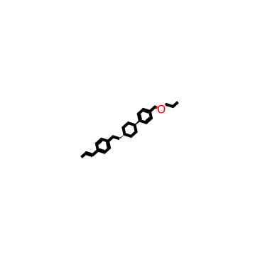 CC=Cc1ccc(CC[C@H]2CC[C@H](c3ccc(COCCC)cc3)CC2)cc1